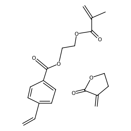 C=C1CCOC1=O.C=Cc1ccc(C(=O)OCCOC(=O)C(=C)C)cc1